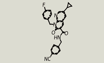 N#Cc1ccc(CNC(=O)c2cc3cc(C4CC4)cnc3n(Cc3ccc(F)cc3)c2=O)cc1